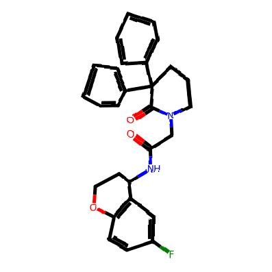 O=C(CN1CCCC(c2ccccc2)(c2ccccc2)C1=O)NC1CCOc2ccc(F)cc21